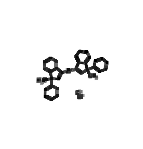 CC1(c2ccccc2)C=[C]([Zr+2][C]2=CC(C)(c3ccccc3)c3ccccc32)c2ccccc21.[Cl-].[Cl-]